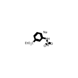 CCOC(=O)c1cccc(N[SH](=O)=O)c1.[Na]